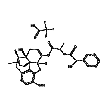 COc1ccc2c3c1O[C@H]1C(OC(=O)C(C)OC(=O)C(O)c4ccccc4)=CC[C@@]4(O)[C@@H](C2)N(C)CC[C@]314.O=C(O)C(F)(F)F